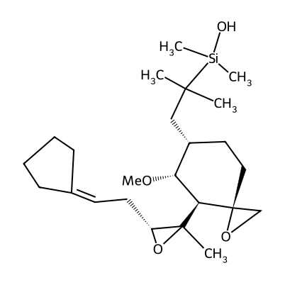 CO[C@@H]1[C@H](CC(C)(C)[Si](C)(C)O)CC[C@]2(CO2)[C@H]1C1(C)O[C@@H]1CC=C1CCCC1